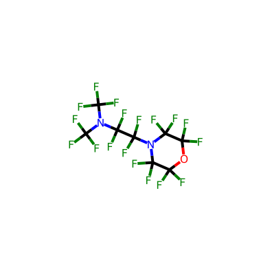 FC(F)(F)N(C(F)(F)F)C(F)(F)C(F)(F)N1C(F)(F)C(F)(F)OC(F)(F)C1(F)F